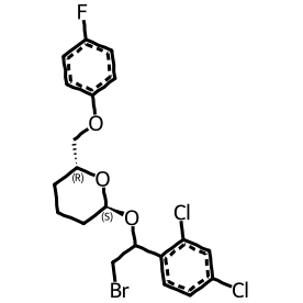 Fc1ccc(OC[C@H]2CCC[C@H](OC(CBr)c3ccc(Cl)cc3Cl)O2)cc1